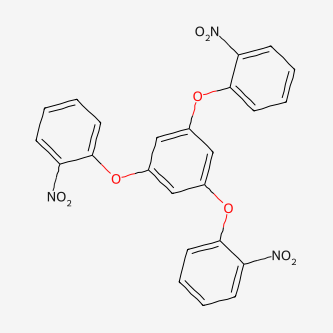 O=[N+]([O-])c1ccccc1Oc1cc(Oc2ccccc2[N+](=O)[O-])cc(Oc2ccccc2[N+](=O)[O-])c1